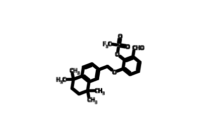 CC1(C)CCC(C)(C)c2cc(COc3cccc(C=O)c3OS(=O)(=O)C(F)(F)F)ccc21